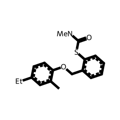 CCc1ccc(OCc2ccccc2SC(=O)NC)c(C)c1